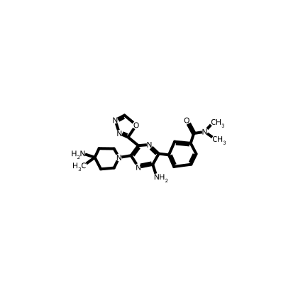 CN(C)C(=O)c1cccc(-c2nc(-c3nnco3)c(N3CCC(C)(N)CC3)nc2N)c1